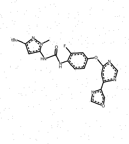 Cn1nc(C(C)(C)C)cc1NC(=O)Nc1ccc(Oc2cc(-c3cocn3)ncn2)cc1F